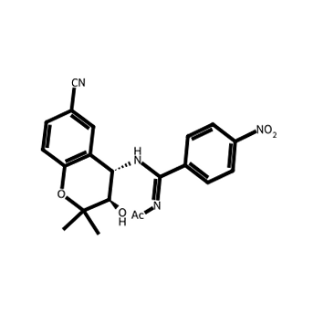 CC(=O)/N=C(\N[C@H]1c2cc(C#N)ccc2OC(C)(C)[C@@H]1O)c1ccc([N+](=O)[O-])cc1